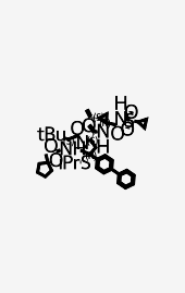 C=C[C@@H]1C[C@]1(NC(=O)[C@@H]1C[C@@](SC(C)C)(c2ccc(-c3ccccc3)cc2)CN1C(=O)[C@@H](NC(=O)OC1(C)CCCC1)C(C)(C)C)C(=O)NS(=O)(=O)C1CC1